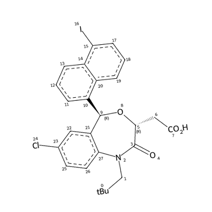 CC(C)(C)CN1C(=O)[C@@H](CC(=O)O)O[C@H](c2cccc3c(I)cccc23)c2cc(Cl)ccc21